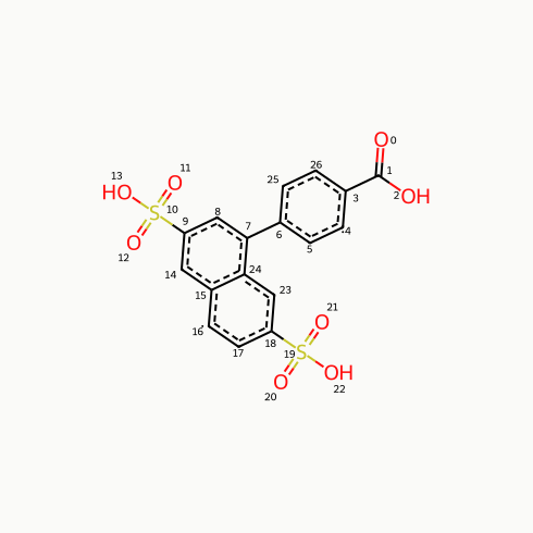 O=C(O)c1[c]cc(-c2cc(S(=O)(=O)O)cc3[c]cc(S(=O)(=O)O)cc23)cc1